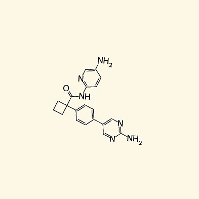 Nc1ccc(NC(=O)C2(c3ccc(-c4cnc(N)nc4)cc3)CCC2)nc1